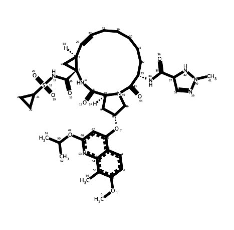 COc1ccc2c(O[C@@H]3C[C@H]4C(=O)N[C@]5(C(=O)NS(=O)(=O)C6CC6)C[C@H]5/C=C\CCCCC[C@H](NC(=O)C5C=NN(C)N5)C(=O)N4C3)cc(OC(C)C)nc2c1C